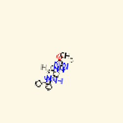 CNC1(c2ccnc3cc(OC)cnc23)C=CC(Nc2nnc(-c3ccccc3)c3ccccc23)=CC1